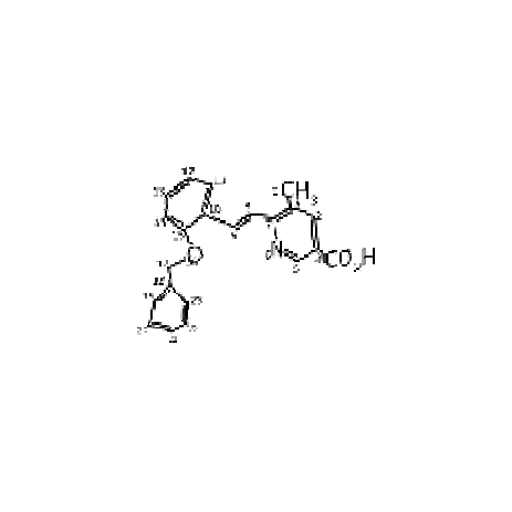 Cc1cc(C(=O)O)cnc1C=Cc1ccccc1OCc1ccccc1